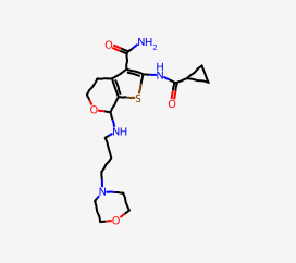 NC(=O)c1c(NC(=O)C2CC2)sc2c1CCOC2NCCCN1CCOCC1